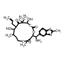 C=CCC1C(=O)C(C)(C)C(O)CC(=O)OC(C(N)c2ccc3sc(C)nc3c2)C2OC2(C)CCCC(C)C1O